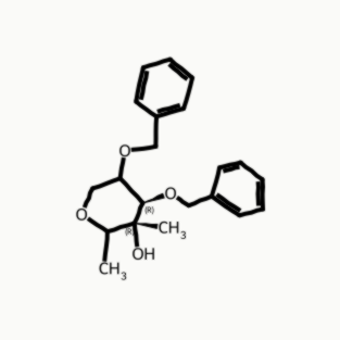 CC1OCC(OCc2ccccc2)[C@@H](OCc2ccccc2)[C@]1(C)O